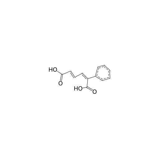 O=C(O)C=CC=C(C(=O)O)c1ccccc1